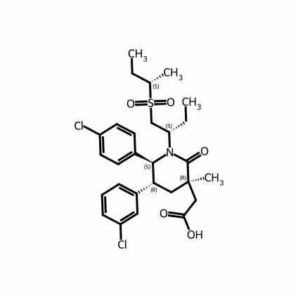 CC[C@@H](CS(=O)(=O)[C@@H](C)CC)N1C(=O)[C@@](C)(CC(=O)O)C[C@H](c2cccc(Cl)c2)[C@H]1c1ccc(Cl)cc1